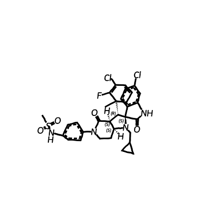 CC1([C@H]2[C@@H]3C(=O)N(c4ccc(NS(C)(=O)=O)cc4)CC[C@@H]3N(CC3CC3)[C@@]23C(=O)Nc2cc(Cl)ccc23)CC=CC(Cl)=C1F